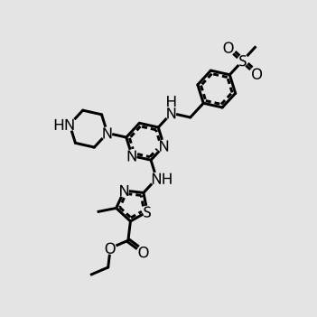 CCOC(=O)c1sc(Nc2nc(NCc3ccc(S(C)(=O)=O)cc3)cc(N3CCNCC3)n2)nc1C